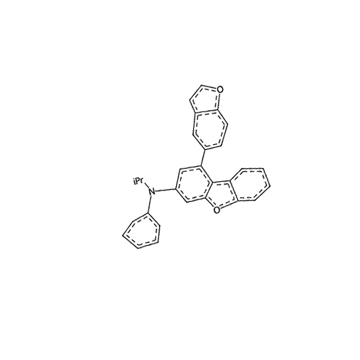 CC(C)N(c1ccccc1)c1cc(-c2ccc3occc3c2)c2c(c1)oc1ccccc12